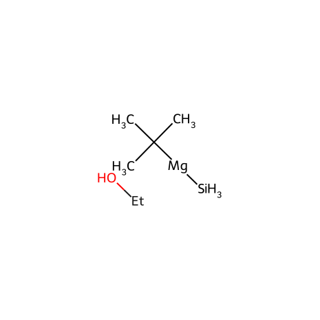 CCO.C[C](C)(C)[Mg][SiH3]